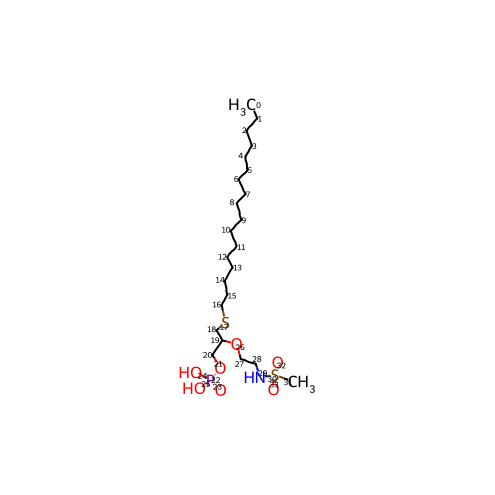 CCCCCCCCCCCCCCCCCSCC(COP(=O)(O)O)OCCNS(C)(=O)=O